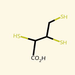 O=C(O)C(S)C(S)CS